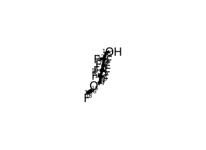 OCC(F)(F)C(F)(F)C(F)(F)C(F)(F)COC=CF